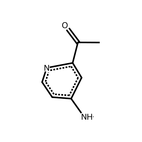 CC(=O)c1cc([NH])ccn1